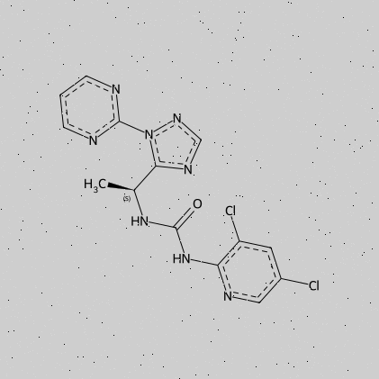 C[C@H](NC(=O)Nc1ncc(Cl)cc1Cl)c1ncnn1-c1ncccn1